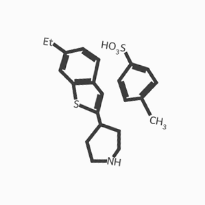 CCc1ccc2cc(C3CCNCC3)sc2c1.Cc1ccc(S(=O)(=O)O)cc1